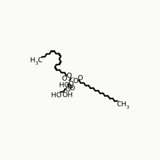 CCCCC/C=C\C/C=C\C/C=C\C/C=C\CCCC(=O)O[C@H](COC(=O)CCCCCCCCCCCCCCCCC)COP(=O)(O)OCC(O)CO